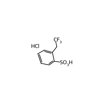 Cl.O=S(=O)(O)c1ccccc1CC(F)(F)F